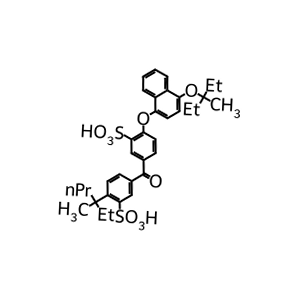 CCCC(C)(CC)c1ccc(C(=O)c2ccc(Oc3ccc(OC(C)(CC)CC)c4ccccc34)c(S(=O)(=O)O)c2)cc1S(=O)(=O)O